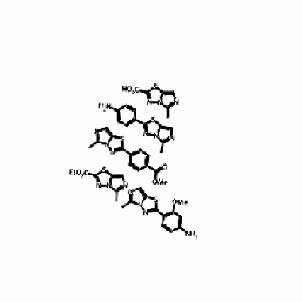 CCOC(=O)c1nn2c(C)ncc2s1.COC(=O)c1ccc(-c2nn3c(C)ncc3s2)cc1.COc1cc(N)ccc1-c1nn2c(C)ncc2s1.Cc1ncc2sc(-c3ccc(N)cc3)nn12.Cc1ncc2sc(C(=O)O)nn12